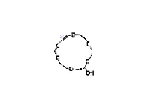 OC1CCCCCCC/C=C\CCCCCCC1